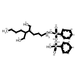 CCCCC(CO)C(CO)CCCC.O=S(=O)(O)c1ccccc1.O=S(=O)(O)c1ccccc1